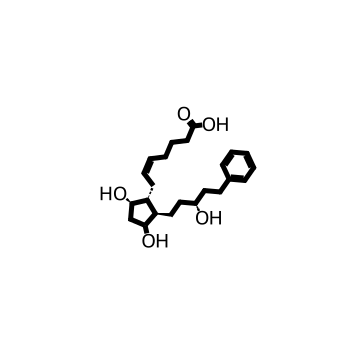 O=C(O)CCC/C=C\C[C@H]1[C@@H](O)CC(O)[C@@H]1CC[C@@H](O)CCc1ccccc1